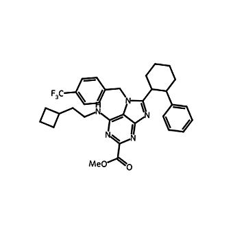 COC(=O)c1nc(NCCC2CCC2)c2c(n1)nc(C1CCCCC1c1ccccc1)n2Cc1ccc(C(F)(F)F)cc1